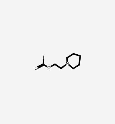 O=C(I)OCCN1CCCCC1